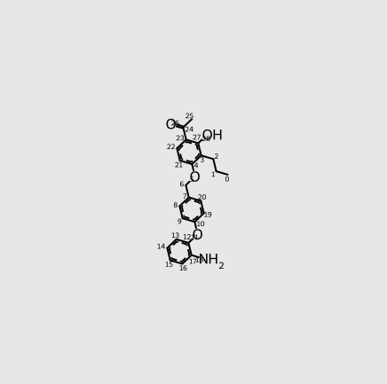 CCCc1c(OCc2ccc(Oc3ccccc3N)cc2)ccc(C(C)=O)c1O